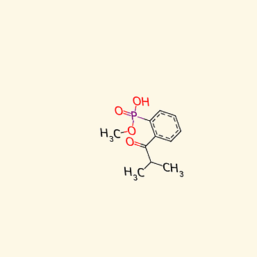 COP(=O)(O)c1ccccc1C(=O)C(C)C